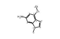 CCOc1cc(N)cc2c1ncn2C